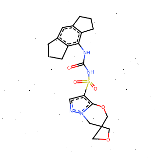 O=C(Nc1c2c(cc3c1CCC3)CCC2)NS(=O)(=O)c1cnn2c1OCC1(COC1)C2